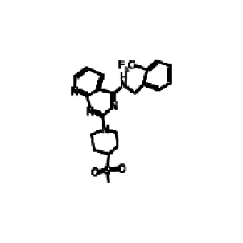 CS(=O)(=O)C1CCN(c2nc(NCc3ccccc3C(F)(F)F)c3cccnc3n2)CC1